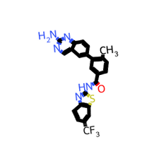 Cc1ccc(C(=O)Nc2nc3ccc(C(F)(F)F)cc3s2)cc1-c1ccc2nc(N)ncc2c1